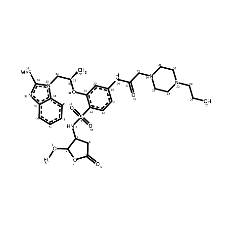 CCOC1OC(=O)CC1NS(=O)(=O)c1ccc(NC(=O)CN2CCN(CCO)CC2)cc1O[C@H](C)Cn1c(SC)nc2ccccc21